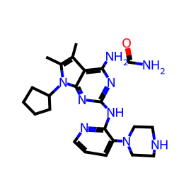 Cc1c(C)n(C2CCCC2)c2nc(Nc3ncccc3N3CCNCC3)nc(N)c12.NC=O